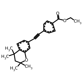 CCOC(=O)c1ccc(C#Cc2ccc3c(c2)OC(C)(C)CC3(C)C)cc1